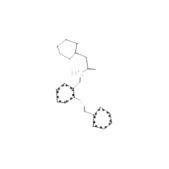 CC(CC1CCCCC1)NCc1ccccc1OCc1ccccc1